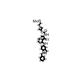 CCc1c(NC(=O)OC2CN(CCOC)C2)cn2ncnc(Nc3ccc4c(cnn4Cc4ccccc4)c3)c12